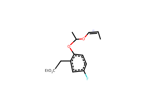 C/C=C\OC(C)Oc1ccc(F)cc1CC(=O)OCC